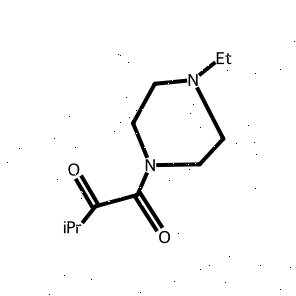 CCN1CCN(C(=O)C(=O)C(C)C)CC1